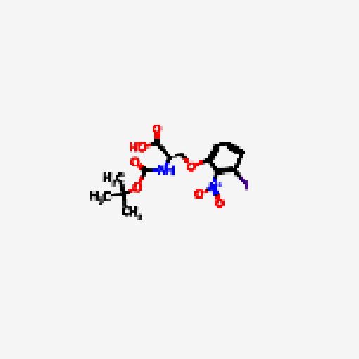 CC(C)(C)OC(=O)N[C@@H](COc1cccc(I)c1[N+](=O)[O-])C(=O)O